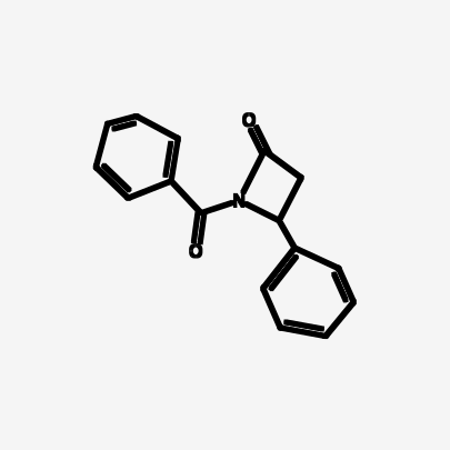 O=C1CC(c2ccccc2)N1C(=O)c1ccccc1